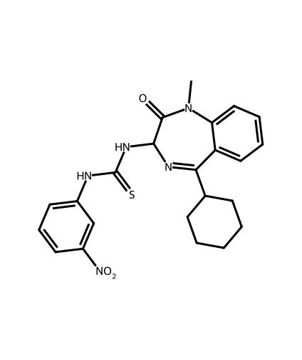 CN1C(=O)C(NC(=S)Nc2cccc([N+](=O)[O-])c2)N=C(C2CCCCC2)c2ccccc21